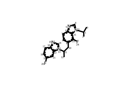 CC(C)n1cnc2ccc(CC(C)n3cnc4ccc(F)cc43)c(F)c21